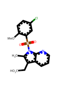 COc1ccc(Cl)cc1S(=O)(=O)n1c(C)c(CC(=O)O)c2cccnc21